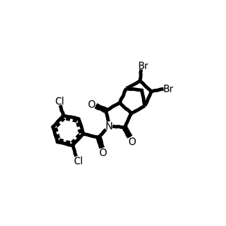 O=C(c1cc(Cl)ccc1Cl)N1C(=O)C2C3CC(C(Br)C3Br)C2C1=O